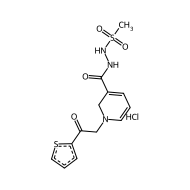 CS(=O)(=O)NNC(=O)C1=CC=CN(CC(=O)c2cccs2)C1.Cl